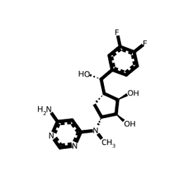 CN(c1cc(N)ncn1)[C@@H]1C[C@H]([C@H](O)c2ccc(F)c(F)c2)[C@@H](O)[C@H]1O